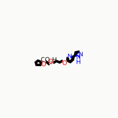 O=C(O)C1(OCCOCCCCOc2ccc(-c3ccn[nH]3)nc2)CCCC1